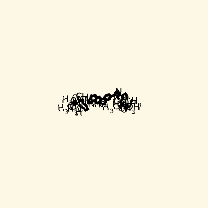 COC(=O)N[C@H](C(=O)N1C(C)CC[C@H]1c1nc2ccc3cc4c(cc3c2[nH]1)OCc1cc(-c2cnc([C@@H]3CC[C@H](C)N3C(=O)[C@@H](NC(=O)O)C(C)C)[nH]2)ccc1-4)C(C)C